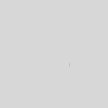 CC(C)CCC(C)C1(I)C2CCCCC2C2CCCCC21